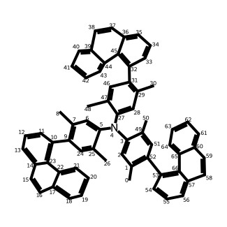 Cc1cc(N(c2cc(C)c(-c3cccc4ccc5ccccc5c34)cc2C)c2cc(C)c(-c3cccc4ccc5ccccc5c34)cc2C)c(C)cc1-c1cccc2ccc3ccccc3c12